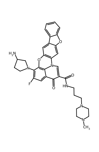 CN1CCN(CCCNC(=O)c2cn3c4c(c(N5CCC(N)C5)c(F)cc4c2=O)Oc2cc4c(cc2-3)oc2ccccc24)CC1